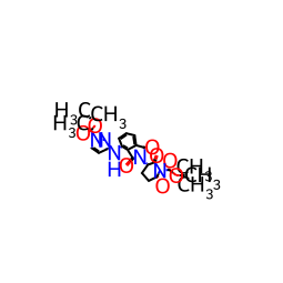 CC(C)(C)OC(=O)N1C(=O)CCC(N2C(=O)c3cccc(Nc4ccn(C(=O)OC(C)(C)C)n4)c3C2=O)C1=O